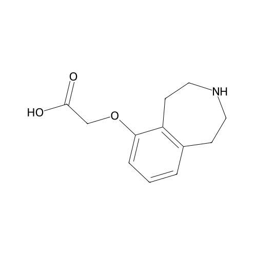 O=C(O)COc1cccc2c1CCNCC2